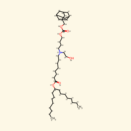 CCCCCCCCC(CCCCCCCC)OC(=O)CCCCCCCN(CCO)CCCCOC(=O)OCC12CC3CC(CC(C3)C1)C2